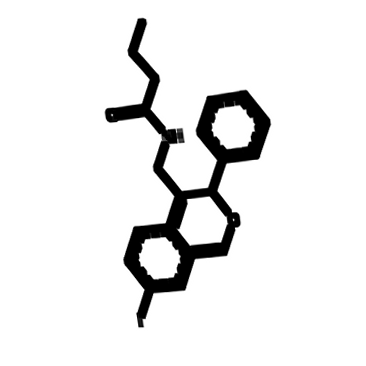 CCCC(=O)NCC1=c2ccc(I)cc2=COC1c1ccccc1